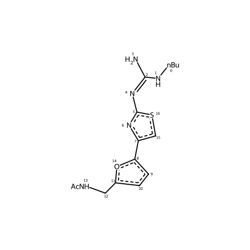 CCCCNC(N)=Nc1nc(-c2ccc(CNC(C)=O)o2)cs1